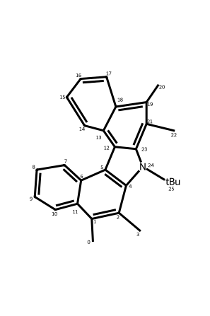 Cc1c(C)c2c(c3ccccc13)c1c3ccccc3c(C)c(C)c1n2C(C)(C)C